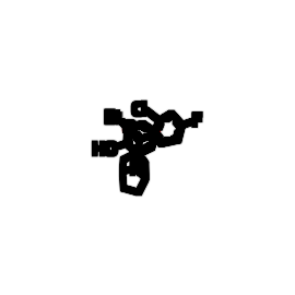 CCc1cccc(N2C3CCC2CN(C(=O)c2ccc(F)cc2Cl)C3)c1O